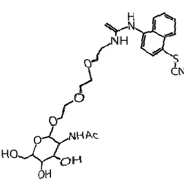 C=C(NCCOCCOCCOC1OC(CO)C(O)C(O)C1NC(C)=O)Nc1ccc(SC#N)c2ccccc12